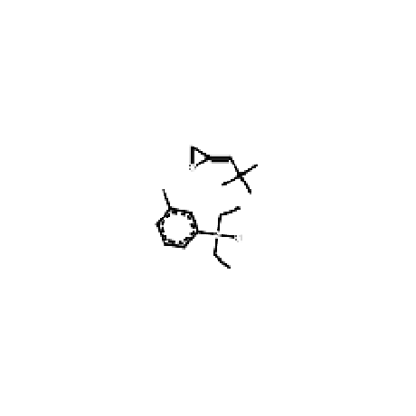 CC(C)(C)C=C1CO1.CC[Si](Cl)(CC)c1cccc(C)c1